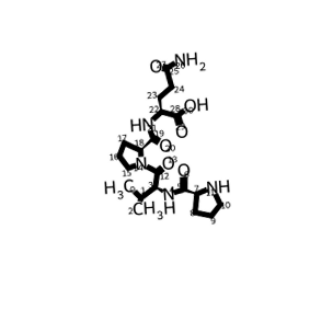 CC(C)[C@H](NC(=O)[C@@H]1CCCN1)C(=O)N1CCC[C@H]1C(=O)N[C@@H](CCC(N)=O)C(=O)O